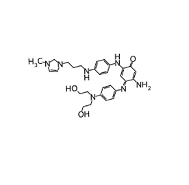 CN1C=CN(CCCNc2ccc(NC3=CC(=Nc4ccc(N(CCO)CCO)cc4)C(N)=CC3=O)cc2)C1